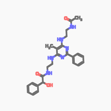 CC(=O)NCCNc1nc(-c2ccccc2)nc(NCCNC(=O)C(O)c2ccccc2)c1C